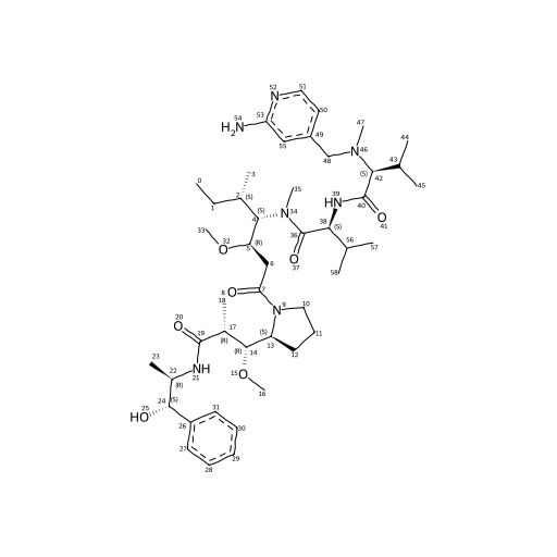 CC[C@H](C)[C@@H]([C@@H](CC(=O)N1CCC[C@H]1[C@H](OC)[C@@H](C)C(=O)N[C@H](C)[C@@H](O)c1ccccc1)OC)N(C)C(=O)[C@@H](NC(=O)[C@H](C(C)C)N(C)Cc1ccnc(N)c1)C(C)C